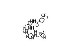 Cc1cncc(CNc2cc(-n3ccnc3Nc3cc(NC(=O)c4cccc(C(F)(F)F)c4)ccc3C)ncn2)n1